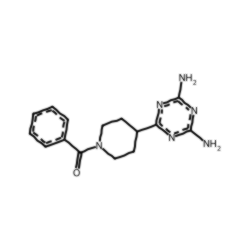 Nc1nc(N)nc(C2CCN(C(=O)c3ccccc3)CC2)n1